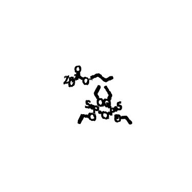 CCCC.CCOP(=S)(OCC)OP(=S)(OCC)OCC.O=C([O-])[O-].[Zn+2]